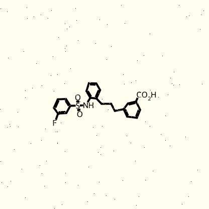 O=C(O)c1cccc(CCCc2ccccc2NS(=O)(=O)c2cccc(F)c2)c1